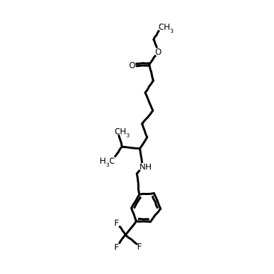 CCOC(=O)CCCCCC(NCc1cccc(C(F)(F)F)c1)C(C)C